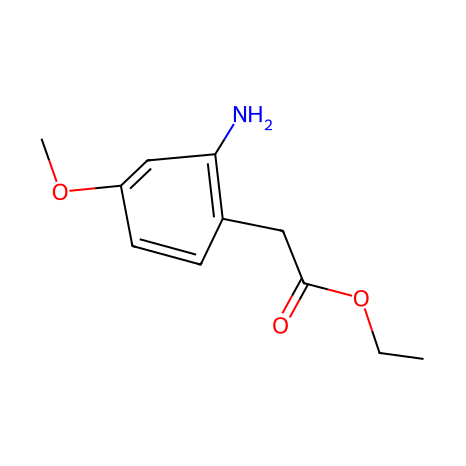 CCOC(=O)Cc1ccc(OC)cc1N